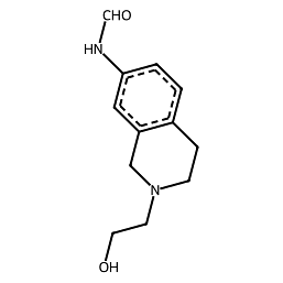 O=CNc1ccc2c(c1)CN(CCO)CC2